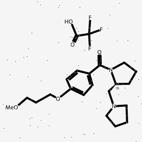 COCCCOc1ccc(C(=O)N2CCC[C@H]2CN2CCCC2)cc1.O=C(O)C(F)(F)F